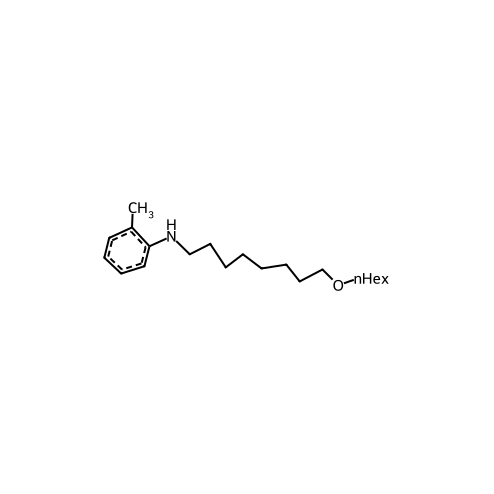 CCCCCCOCCCCCCCCNc1ccccc1C